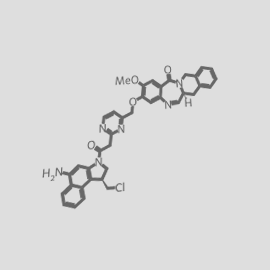 COc1cc2c(cc1OCc1ccnc(CC(=O)N3C[C@@H](CCl)c4c3cc(N)c3ccccc43)n1)N=C[C@@H]1Cc3ccccc3CN1C2=O